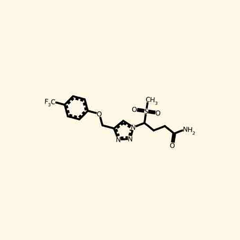 CS(=O)(=O)C(CCC(N)=O)n1cc(COc2ccc(C(F)(F)F)cc2)nn1